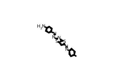 Cc1ccc(N=Nc2cc3sc(N=Nc4ccc(N)cc4)nc3s2)cc1